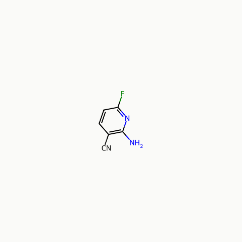 N#Cc1ccc(F)nc1N